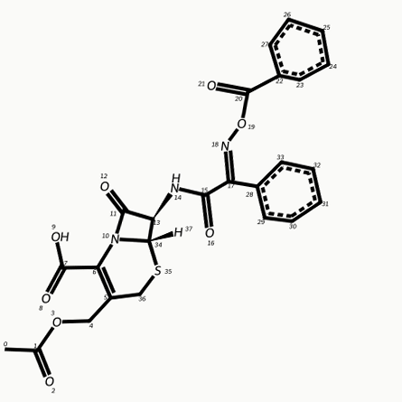 CC(=O)OCC1=C(C(=O)O)N2C(=O)[C@@H](NC(=O)C(=NOC(=O)c3ccccc3)c3ccccc3)[C@@H]2SC1